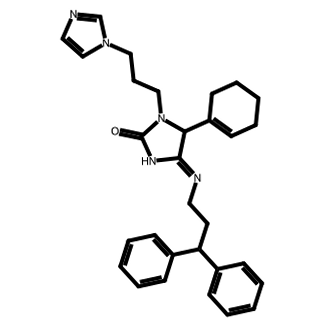 O=C1NC(=NCCC(c2ccccc2)c2ccccc2)C(C2=CCCCC2)N1CCCn1ccnc1